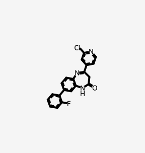 O=C1CC(c2ccnc(Cl)c2)=Nc2ccc(-c3ccccc3F)cc2N1